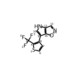 FC(F)(F)c1sccc1-c1c[nH]c2cnoc12